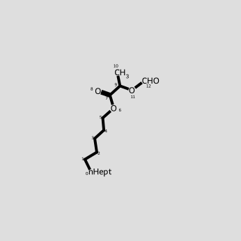 CCCCCCCCCCCCOC(=O)C(C)OC=O